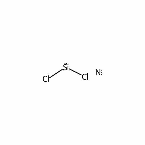 Cl[Si]Cl.[N]